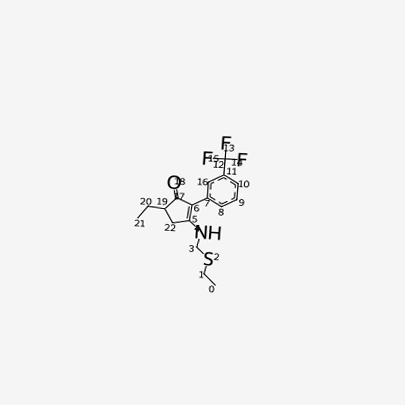 CCSCNC1=C(c2cccc(C(F)(F)F)c2)C(=O)C(CC)C1